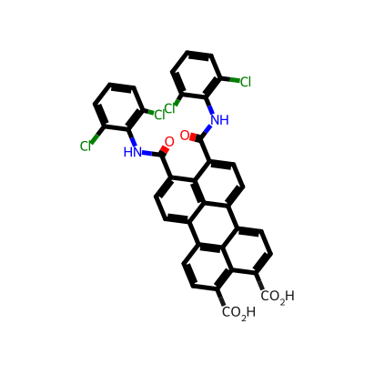 O=C(O)c1ccc2c3ccc(C(=O)Nc4c(Cl)cccc4Cl)c4c(C(=O)Nc5c(Cl)cccc5Cl)ccc(c5ccc(C(=O)O)c1c25)c43